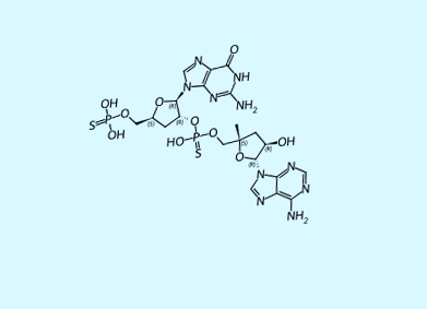 C[C@@]1(COP(O)(=S)O[C@@H]2C[C@@H](COP(O)(O)=S)O[C@H]2n2cnc3c(=O)[nH]c(N)nc32)C[C@@H](O)[C@H](n2cnc3c(N)ncnc32)O1